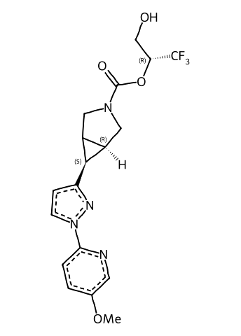 COc1ccc(-n2ccc([C@H]3C4CN(C(=O)O[C@H](CO)C(F)(F)F)C[C@H]43)n2)nc1